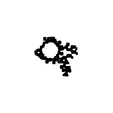 CC[C@@H]1CC1(NC(=O)[C@@H]1C[C@@H]2CN1C(=O)[C@H](CCC(=O)C=C(C)C)NC(=O)OCC(C)(C)CC/C=C/c1cccc3c1CN(C3)C(=O)O2)C(=O)NS(=O)(=O)C1CC1